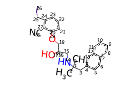 CC(C)(Cc1ccc2ccccc2c1)NC[C@@H](O)COc1cccc(CI)c1C#N